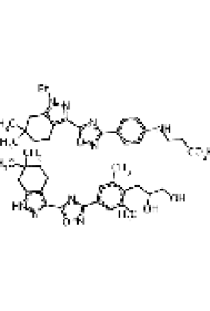 CCn1nc(-c2nc(-c3ccc(NCCC(=O)O)cc3)no2)c2c1CC(C)(C)CC2.Cc1cc(-c2noc(-c3n[nH]c4c3CCC(C)(C)C4)n2)cc(C)c1CC(O)CO